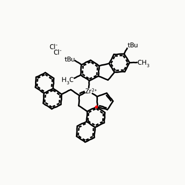 Cc1cc2c(cc1C(C)(C)C)-c1cc(C(C)(C)C)c(C)[c]([Zr+2](=[C](Cc3cccc4ccccc34)Cc3cccc4ccccc34)[CH]3C=CC=C3)c1C2.[Cl-].[Cl-]